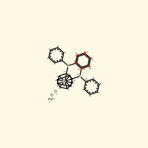 [Cl-].[Cl-].[Pd+2].c1ccc(P(c2ccccc2)[C]23[CH]4[CH]5[CH]6[C]2(P(c2ccccc2)c2ccccc2)[Fe]54632789[CH]3[CH]2[CH]7[CH]8[CH]39)cc1